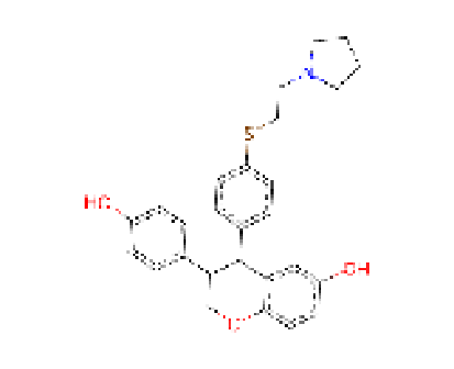 Oc1ccc(C2COc3ccc(O)cc3C2c2ccc(SCCN3CCCC3)cc2)cc1